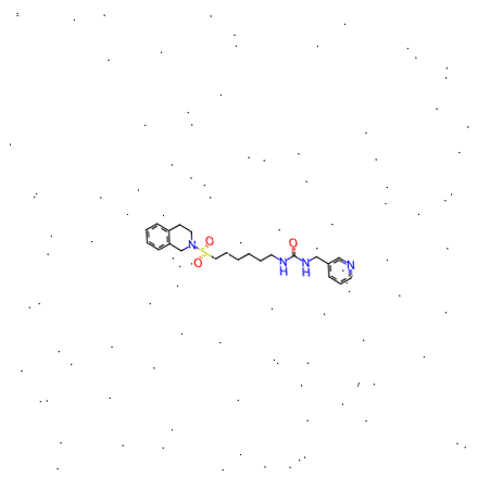 O=C(NCCCCCCS(=O)(=O)N1CCc2ccccc2C1)NCc1cccnc1